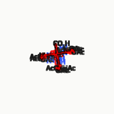 CC(=O)NC1C(OC(C)=O)[C@H](OC(C)=O)C(COC(C)=O)O[C@H]1OCCCCC(=O)CNCCCNC(=O)CCOCC(COCCC(=O)NCCCNCC(=O)CCCCO[C@@H]1OC(COC(C)=O)[C@@H](OC(C)=O)C(OC(C)=O)C1NC(C)=O)(COCCC(=O)NCCCNC(=O)CCCCO[C@@H]1OC(COC(C)=O)[C@@H](OC(C)=O)C(OC(C)=O)C1NC(C)=O)NC(=O)CCCCCCCCCCC(=O)O